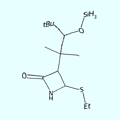 CCSC1NC(=O)C1C(C)(C)C(O[SiH3])C(C)(C)C